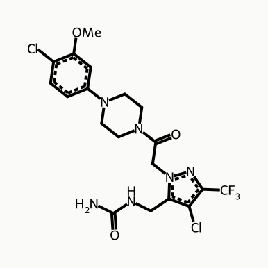 COc1cc(N2CCN(C(=O)Cn3nc(C(F)(F)F)c(Cl)c3CNC(N)=O)CC2)ccc1Cl